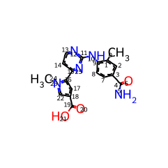 Cc1cc(C(N)=O)ccc1Nc1nccc(-c2cc(C(=O)O)cn2C)n1